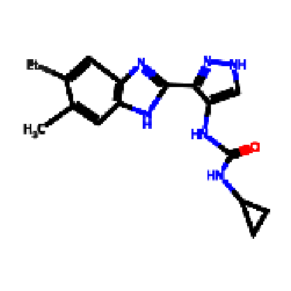 CCc1cc2nc(-c3n[nH]cc3NC(=O)NC3CC3)[nH]c2cc1C